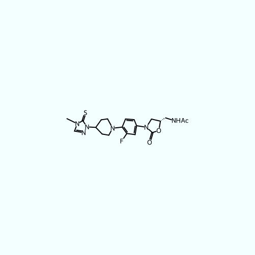 CC(=O)NC[C@H]1CN(c2ccc(N3CCC(n4ncn(C)c4=S)CC3)c(F)c2)C(=O)O1